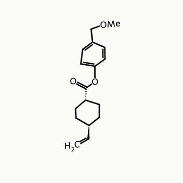 C=C[C@H]1CC[C@H](C(=O)Oc2ccc(COC)cc2)CC1